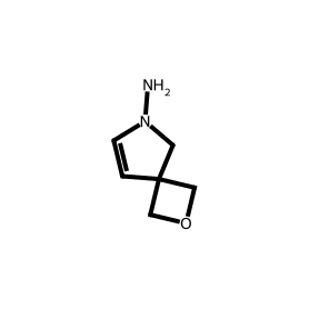 NN1C=CC2(COC2)C1